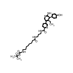 CCc1c(-c2ccc(C(=O)NCCCNC(=O)CCCCCCCNC(=O)OC(C)(C)C)nc2)cnc(N)c1-c1ccc(O)cc1